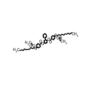 C=CC(=O)OC(CCCCCCCCCC)Oc1ccc(C(=O)Oc2ccc(OC(=O)c3ccc(OC(CCCCCCCCCC)OC(=O)C=C)cc3)c(-c3ccccc3)c2)cc1